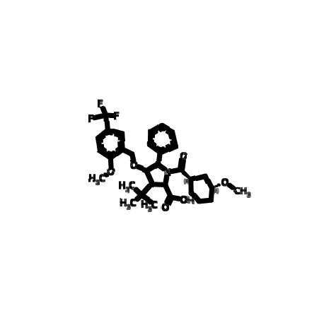 COc1ccc(C(F)(F)F)cc1COC1C(c2ccccc2)N(C(=O)[C@@H]2CCC[C@@H](OC)C2)C(C(=O)O)C1C(C)(C)C